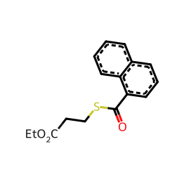 CCOC(=O)CCSC(=O)c1cccc2ccccc12